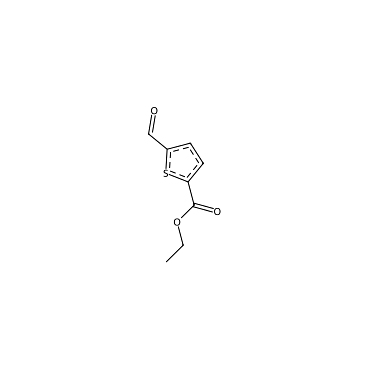 CCOC(=O)c1ccc(C=O)s1